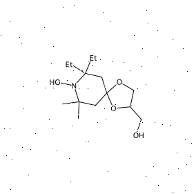 CCC1(CC)CC2(CC(C)(C)N1O)OCC(CO)O2